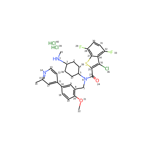 CNC1CCC(N(Cc2cc(-c3ccnc(C)c3)ccc2OC)C(=O)c2sc3c(F)ccc(F)c3c2Cl)CC1.Cl.Cl